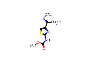 CCOC(=O)C(=NOC(C)=O)c1csc(NC(=O)OC(C)(C)C)n1